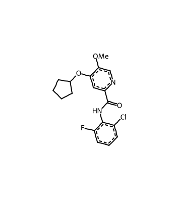 COc1cnc(C(=O)Nc2c(F)cccc2Cl)cc1OC1CCCC1